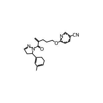 C=C(CCCOc1ccc(C#N)cn1)C(=O)N1N=CCC1C1=CC(C)=CCC1